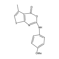 COc1ccc(Nc2nc3scc(C)c3c(=O)o2)cc1